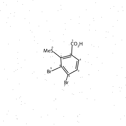 CSc1c(C(=O)O)ccc(Br)c1Br